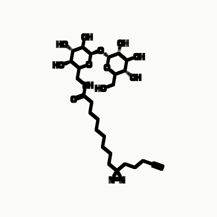 C#CCCCC1(CCCCCCCCC(=O)NCC2O[C@H](O[C@H]3OC(CO)[C@@H](O)C(O)[C@H]3O)C(O)[C@@H](O)[C@@H]2O)N=N1